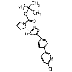 CC(C)(C)OC(=O)N1CCC[C@H]1c1ncc(-c2ccc(-c3ccc(Cl)nc3)cc2)[nH]1